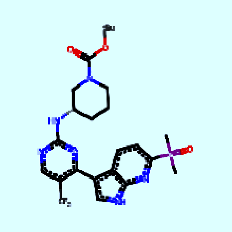 CC(C)(C)OC(=O)N1CCC[C@H](Nc2ncc(C(F)(F)F)c(-c3c[nH]c4nc(P(C)(C)=O)ccc34)n2)C1